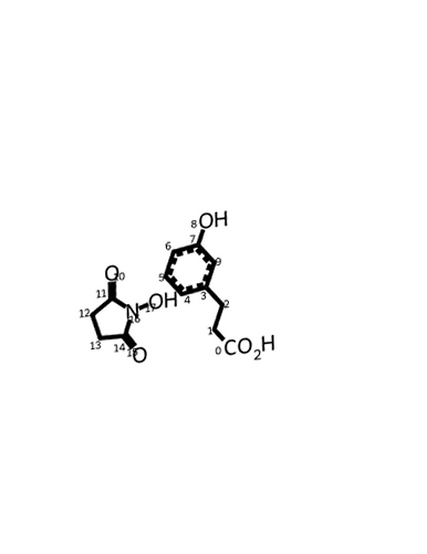 O=C(O)CCc1cccc(O)c1.O=C1CCC(=O)N1O